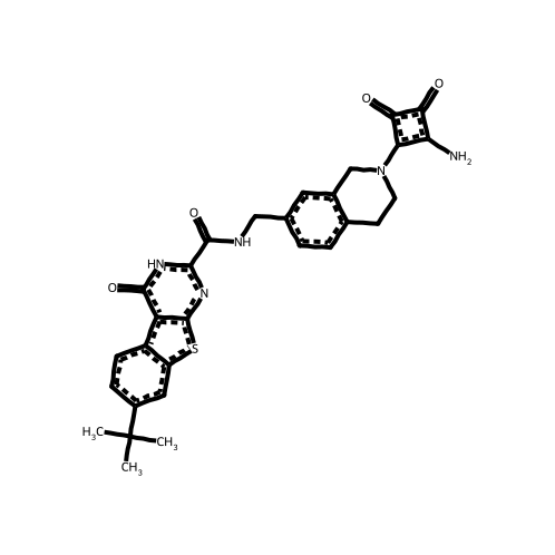 CC(C)(C)c1ccc2c(c1)sc1nc(C(=O)NCc3ccc4c(c3)CN(c3c(N)c(=O)c3=O)CC4)[nH]c(=O)c12